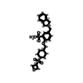 CS(=O)(=O)c1cc(CN2Cc3ccccc3C2)ccc1OCC1CCN(S(=O)(=O)C2COC2)CC1